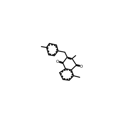 CC1=C(Cc2ccc(C)cc2)C(=O)c2cccc(C)c2C1=O